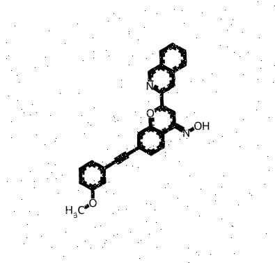 COc1cccc(C#Cc2ccc3c(=NO)cc(-c4cc5ccccc5cn4)oc3c2)c1